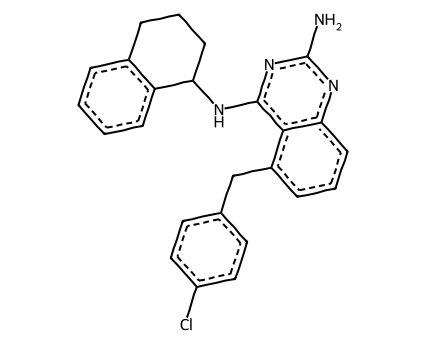 Nc1nc(NC2CCCc3ccccc32)c2c(Cc3ccc(Cl)cc3)cccc2n1